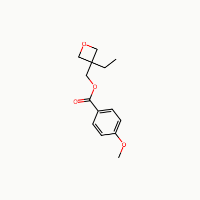 CCC1(COC(=O)c2ccc(OC)cc2)COC1